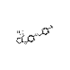 CCN1CCCC1Oc1ccc(OCc2ccc(Br)cc2)cc1